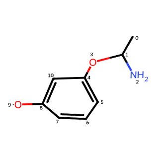 CC(N)Oc1cccc([O])c1